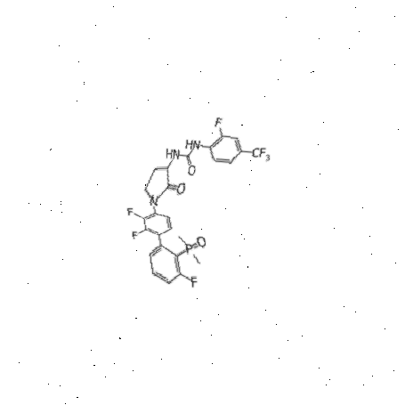 CP(C)(=O)c1c(F)cccc1-c1ccc(N2CCC(NC(=O)Nc3ccc(C(F)(F)F)cc3F)C2=O)c(F)c1F